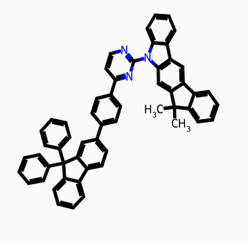 CC1(C)c2ccccc2-c2cc3c4ccccc4n(-c4nccc(-c5ccc(-c6ccc7c(c6)C(c6ccccc6)(c6ccccc6)c6ccccc6-7)cc5)n4)c3cc21